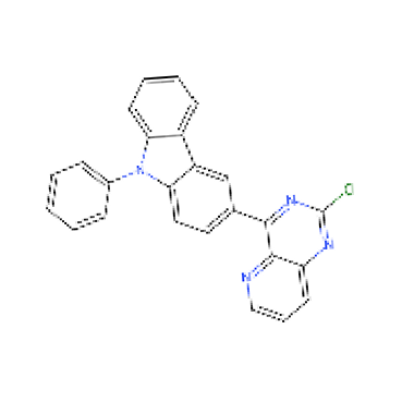 Clc1nc(-c2ccc3c(c2)c2ccccc2n3-c2ccccc2)c2ncccc2n1